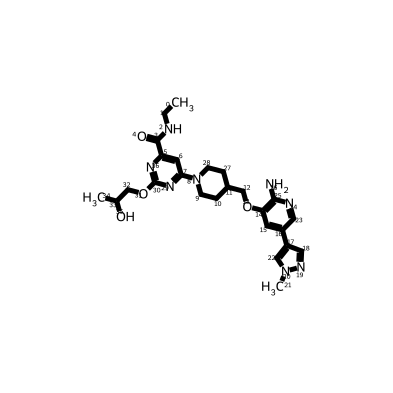 CCNC(=O)c1cc(N2CCC(COc3cc(-c4cnn(C)c4)cnc3N)CC2)nc(OCC(C)O)n1